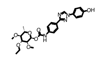 CCO[C@@H]1[C@@H](OC)[C@H](C)O[C@@H](OC(=O)Nc2ccc(-c3ncn(-c4ccc(O)cc4)n3)cc2)[C@@H]1OC